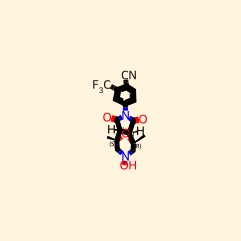 C[C@]12CN(O)C[C@](C)(O1)[C@@H]1C(=O)N(c3ccc(C#N)c(C(F)(F)F)c3)C(=O)[C@@H]12